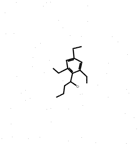 CCCC([O])c1c(CC)cc(CC)cc1CC